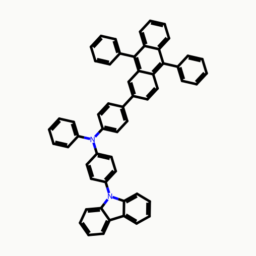 c1ccc(-c2c3ccccc3c(-c3ccccc3)c3cc(-c4ccc(N(c5ccccc5)c5ccc(-n6c7ccccc7c7ccccc76)cc5)cc4)ccc23)cc1